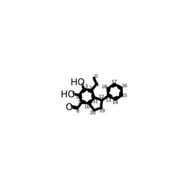 CCc1c(O)c(O)c(C=O)c2c1C(c1ccccc1)CC2